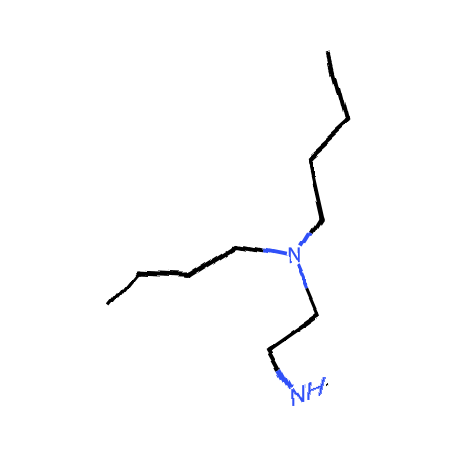 CCCCN(CC[NH])CCCC